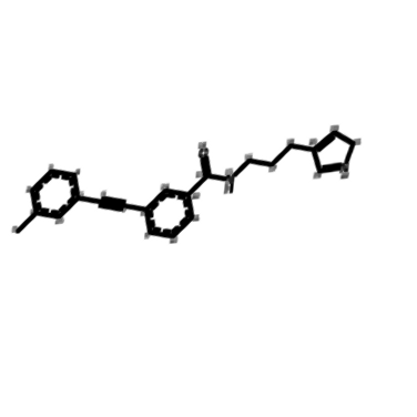 Cc1cccc(C#Cc2cccc(C(=O)NCCCC3=CCN=C3)c2)c1